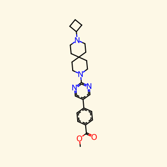 COC(=O)c1ccc(-c2cnc(N3CCC4(CC3)CCN(C3CCC3)CC4)nc2)cc1